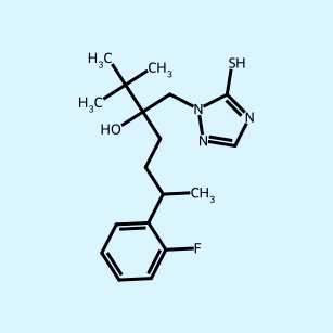 CC(CCC(O)(Cn1ncnc1S)C(C)(C)C)c1ccccc1F